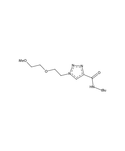 COCCOCCn1cc(C(=O)NC(C)(C)C)nn1